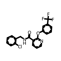 O=C(NCc1ccccc1Cl)c1cccnc1Oc1cccc(C(F)(F)F)c1